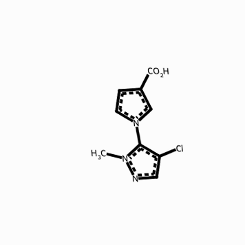 Cn1ncc(Cl)c1-n1ccc(C(=O)O)c1